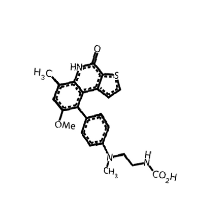 COc1cc(C)c2[nH]c(=O)c3sccc3c2c1-c1ccc(N(C)CCNC(=O)O)cc1